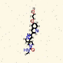 CCNC(=O)N1CCC2(CCn3nc(-c4cnc5ccc(OCCCOC)cc5c4)cc32)C1